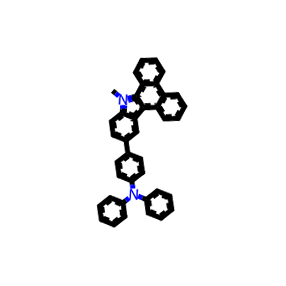 Cn1c2ccc(-c3ccc(N(c4ccccc4)c4ccccc4)cc3)cc2c2c3ccccc3c3ccccc3c21